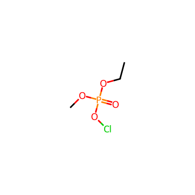 CCOP(=O)(OC)OCl